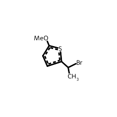 COc1ccc(C(C)Br)s1